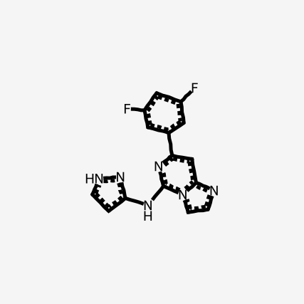 Fc1cc(F)cc(-c2cc3nccn3c(Nc3cc[nH]n3)n2)c1